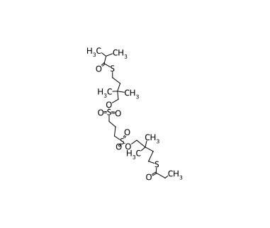 CCC(=O)SCCC(C)(C)COS(=O)(=O)CCCS(=O)(=O)OCC(C)(C)CCSC(=O)C(C)C